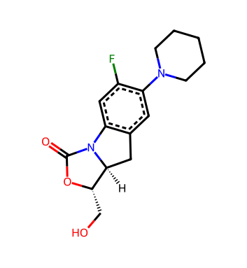 O=C1O[C@@H](CO)[C@@H]2Cc3cc(N4CCCCC4)c(F)cc3N12